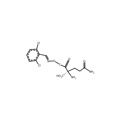 NC(=O)CC[C@](N)(C(=O)O)C(=O)CON=Cc1c(Cl)cccc1Cl